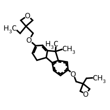 CCC1(COC2=CCC3C(=C2)C(C)(C)c2cc(OCC4(CC)COC4)ccc23)COC1